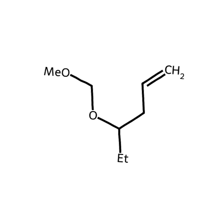 C=CCC(CC)OCOC